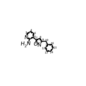 Nc1ncccc1-c1cc(Cc2ccccc2)no1